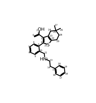 C=C(O)c1c(-c2ccccc2CNCCc2ccccc2)sc2c1CC(C)(C)CC2